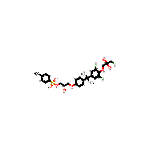 Cc1ccc(S(=O)(=O)OC[C@@H](O)COc2ccc(C(C)(C)c3cc(Cl)c(OCC(O)(O)CCl)c(Cl)c3)cc2)cc1